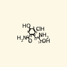 Cl.NC(=O)c1cc(O)ccc1C[C@H](N)CO